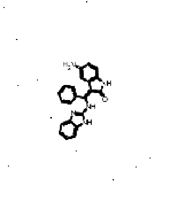 Nc1ccc2c(c1)/C(=C(/Nc1nc3ccccc3[nH]1)c1ccccc1)C(=O)N2